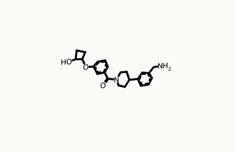 NCc1cccc(C2CCN(C(=O)c3cccc(OC4CCC4O)c3)CC2)c1